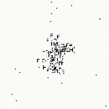 CCCCC(C)(O[Si](C)(c1cc(F)c(F)c(F)c1)C(C)(CCCC)O[Si](C)(C)C)C(C)(CC)[Si](C)(CCC(F)(F)F)OC(CCC)[Si](C)(C)C